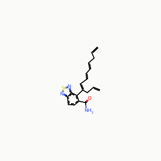 C=CCC=CC=CC=C(CC=C)c1c(C(N)=O)ccc2nsnc12